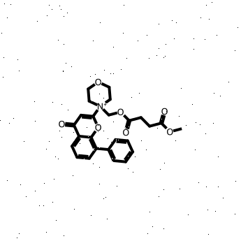 COC(=O)CCC(=O)OC[N+]1(c2cc(=O)c3cccc(-c4ccccc4)c3o2)CCOCC1